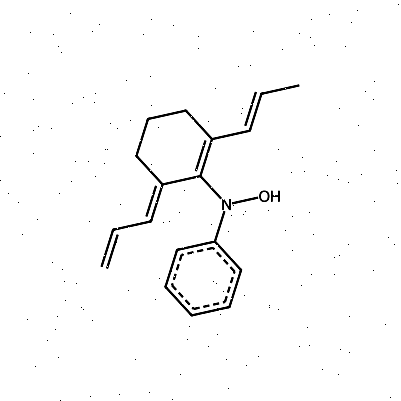 C=C/C=C1\CCCC(/C=C/C)=C1N(O)c1ccccc1